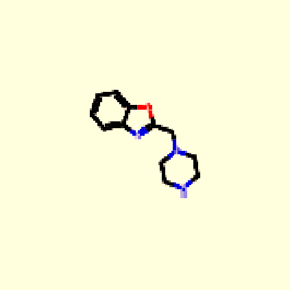 c1ccc2oc(CN3CCNCC3)nc2c1